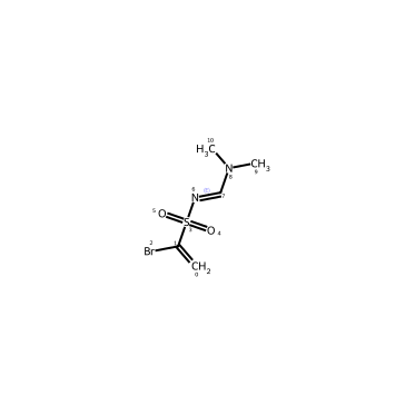 C=C(Br)S(=O)(=O)/N=C/N(C)C